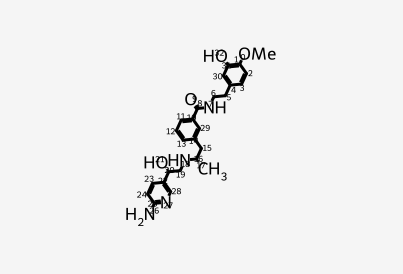 COc1ccc(CCNC(=O)c2cccc(C[C@@H](C)NC[C@H](O)c3ccc(N)nc3)c2)cc1O